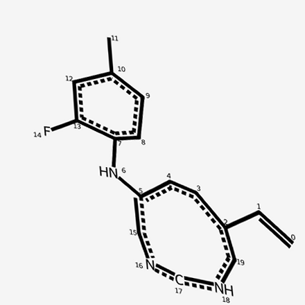 C=Cc1ccc(Nc2ccc(C)cc2F)cnc[nH]c1